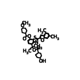 CCC(C)(OC(=O)C1CCC(O)CC1)c1ccc(OC(=O)C2CCC(OC)CC2)c2sc(-c3cc4c(C)cc(C)cc4o3)nc12